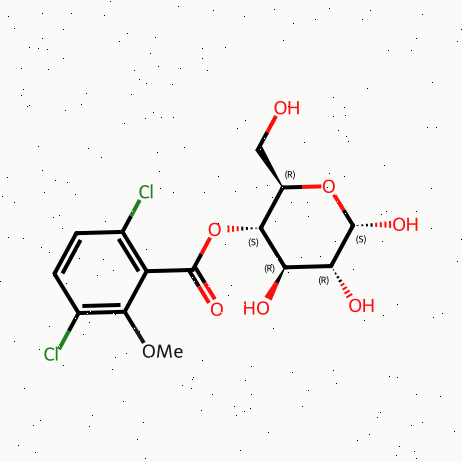 COc1c(Cl)ccc(Cl)c1C(=O)O[C@H]1[C@H](O)[C@@H](O)[C@@H](O)O[C@@H]1CO